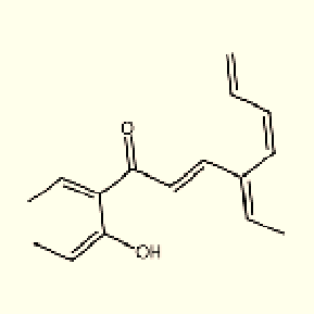 C=C\C=C/C(/C=C/C(=O)C(=C/C)/C(O)=C\C)=C\C